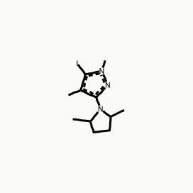 Cc1c(N2C(C)CCC2C)nn(C)c1I